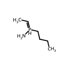 CC=[PH](N)CCCC